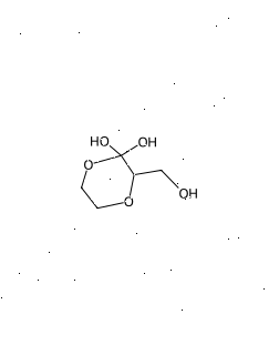 OCC1OCCOC1(O)O